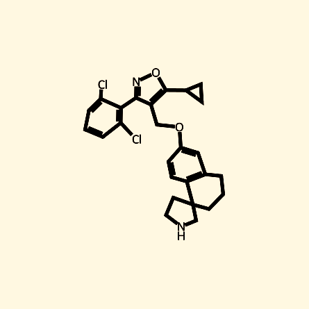 Clc1cccc(Cl)c1-c1noc(C2CC2)c1COc1ccc2c(c1)CCCC21CCNC1